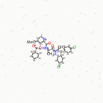 COc1ccnc(C(=O)N[C@@H](C)C(=O)N[C@@H](C)C(c2ccc(Cl)cc2)c2ccc(Cl)cc2)c1OC(=O)c1ccccc1